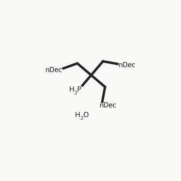 CCCCCCCCCCCC(P)(CCCCCCCCCCC)CCCCCCCCCCC.O